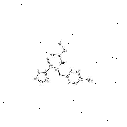 CC(C)(C)OC(=O)N[C@@H](Cc1ccc(N)cc1)C(=O)c1ccco1